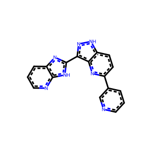 c1cncc(-c2ccc3[nH]nc(-c4nc5cccnc5[nH]4)c3n2)c1